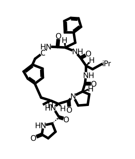 CC(C)C[C@@H]1NC(=O)[C@@H]2CCCN2C(=O)[C@@H](NC(=O)[C@@H]2CCC(=O)N2)[C@@H](C)Cc2ccc(cc2)CCNC(=O)[C@H](Cc2ccccc2)NC1=O